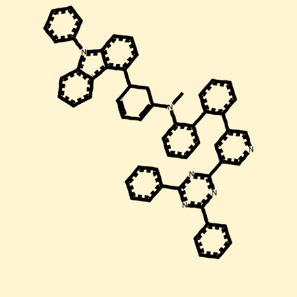 CN(C1=CC=CC(c2cccc3c2c2ccccc2n3-c2ccccc2)C1)c1ccccc1-c1ccccc1-c1cncc(-c2nc(-c3ccccc3)nc(-c3ccccc3)n2)c1